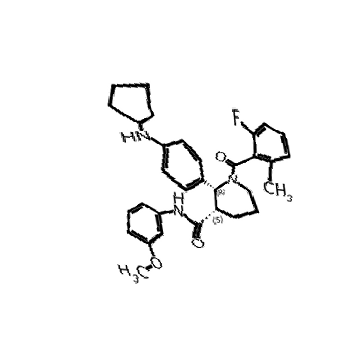 COc1cccc(NC(=O)[C@H]2CCCN(C(=O)c3c(C)cccc3F)[C@H]2c2ccc(NC3CCCC3)cc2)c1